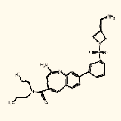 CCCN(CCO)C(=O)C1=Cc2ccc(-c3cccc(S(=O)(=O)N4CC(CN)C4)c3)cc2N=C(N)C1